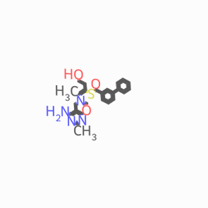 C/C(=C(\CCO)SC(=O)c1cccc(-c2ccccc2)c1)N(C=O)Cc1cnc(C)nc1N